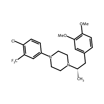 COc1ccc(C[C@H](C)N2CCN(c3ccc(Cl)c(C(F)(F)F)c3)CC2)cc1OC